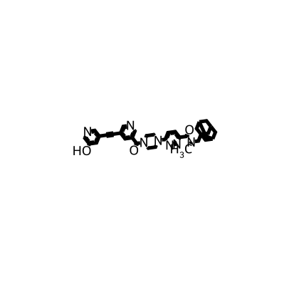 CN(CC12CC3CC(CC(C3)C1)C2)C(=O)c1ccc(N2CCN(C(=O)c3cncc(C#Cc4cncc(O)c4)c3)CC2)nn1